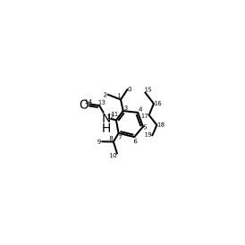 CC(C)c1cccc(C(C)C)c1NC=O.CCCCC